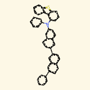 c1ccc(-c2ccc3ccc(-c4ccc5cc(N(c6ccccc6)c6cccc7sc8ccccc8c67)ccc5c4)cc3c2)cc1